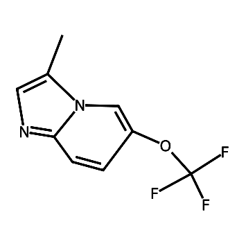 Cc1cnc2ccc(OC(F)(F)F)cn12